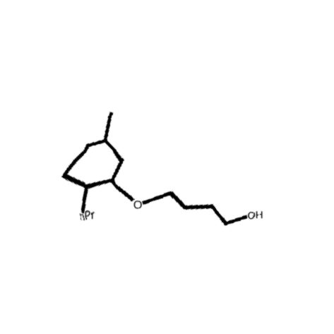 CCCC1CCC(C)CC1OCCCCO